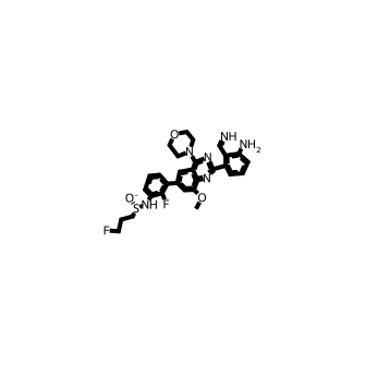 COc1cc(-c2cccc(N[S+]([O-])CCCF)c2F)cc2c(N3CCOCC3)nc(-c3cccc(N)c3C=N)nc12